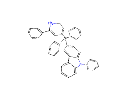 C1=C(c2ccccc2)NCC=C1[Si](c1ccccc1)(c1ccccc1)c1ccc2c(c1)c1ccccc1n2-c1ccccc1